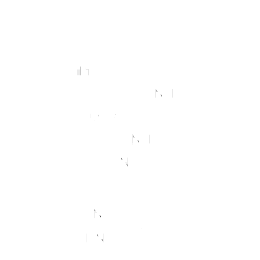 CC(C)c1c(C(=O)NN=Cc2cc[nH]n2)[nH]c2ccccc12